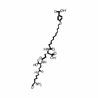 N[C@H]([C]=O)CCCCNC(=O)CCC(NC(=O)CC[C@H](NC(=O)CCCCCCCCCCCOc1ccc(C(=O)O)cc1)C(=O)O)C(=O)O